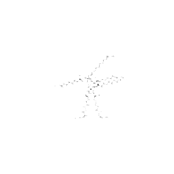 CCCCCCCCCCCCCCCCCOC(=O)CC(COCC(COC(=O)CCCCCCCCCCCCCCCCC)(COC(=O)CCCCCCCCCCCCCCCCC)COC(=O)CCCCCCCCCCCCCCCCC)(COC(=O)CCCCCCCCCCCCCCCCC)COC(=O)CCCCCCCCCCCCCCCCC